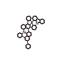 c1ccc(-c2cccc(-c3ccccc3N(c3ccccc3)c3ccccc3-c3ccc4c(c3)C3(c5ccccc5-4)c4ccccc4-n4c5ccccc5c5cccc3c54)c2)cc1